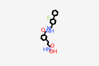 O=C(/C=C/c1cccc(C(=O)N/N=C/c2ccc(-c3ccccc3)c(F)c2)c1)NO